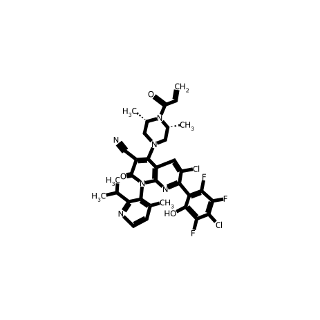 C=CC(=O)N1[C@H](C)CN(c2c(C#N)c(=O)n(-c3c(C)ccnc3C(C)C)c3nc(-c4c(O)c(F)c(Cl)c(F)c4F)c(Cl)cc23)C[C@@H]1C